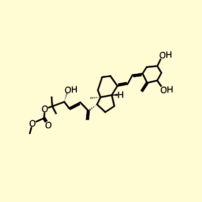 C=C1/C(=C\C=C2/CCC[C@]3(C)[C@@H](C(=C)/C=C/[C@@H](O)C(C)(C)OC(=O)OC)CC[C@@H]23)CC(O)CC1O